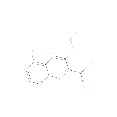 CCSc1cc2c(Br)cccc2nc1C(=O)O